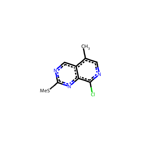 CSc1ncc2c(C)cnc(Cl)c2n1